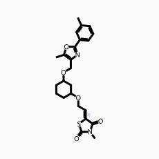 Cc1cccc(-c2nc(COC3CCCC(OC/C=C4\SC(=O)N(C)C4=O)C3)c(C)o2)c1